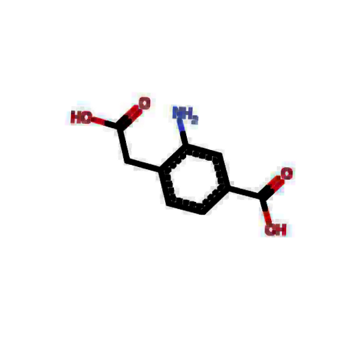 Nc1cc(C(=O)O)ccc1CC(=O)O